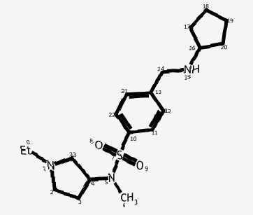 CCN1CCC(N(C)S(=O)(=O)c2ccc(CNC3CCCC3)cc2)C1